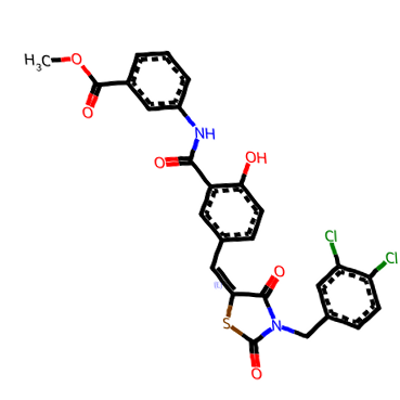 COC(=O)c1cccc(NC(=O)c2cc(/C=C3/SC(=O)N(Cc4ccc(Cl)c(Cl)c4)C3=O)ccc2O)c1